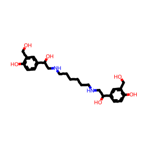 OCc1cc(C(O)CNCCCCCCNCC(O)c2ccc(O)c(CO)c2)ccc1O